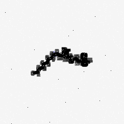 CCCCCCCC/C=C\CC(Br)CCSCCC(=O)OC